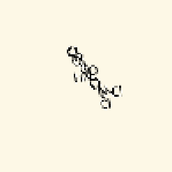 O=C(Nc1ccc(N(CCCl)CCCl)cc1)OCc1cc2ccccc2o1